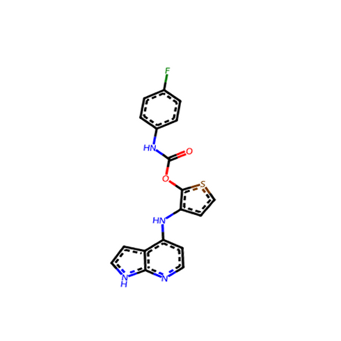 O=C(Nc1ccc(F)cc1)Oc1sccc1Nc1ccnc2[nH]ccc12